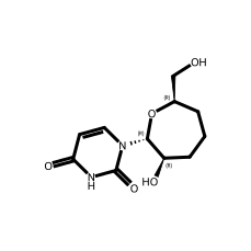 O=c1ccn([C@@H]2O[C@@H](CO)CCC[C@H]2O)c(=O)[nH]1